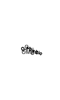 COc1ccccc1CC(=O)N1CCN(CC(=O)N2CCN(C3CCC3)CC2)CC1